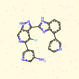 Nc1cncc(-c2ncc3[nH]nc(-c4nc5c(-c6cccnc6)cccc5[nH]4)c3c2F)c1